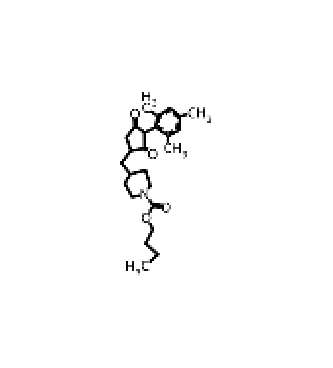 CCCCOC(=O)N1CCC(CC2CC(=O)C(c3c(C)cc(C)cc3C)C2=O)CC1